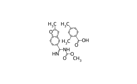 COC(=O)NC(=N)c1ccc2oc(C)cc2c1.Cc1ccc(C(=O)O)c(C)c1